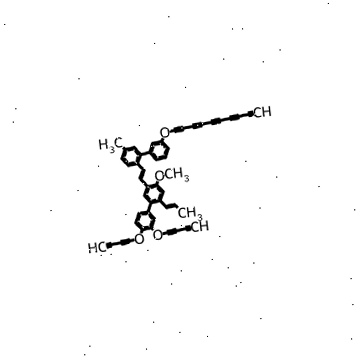 C#CC#CC#CC#CC#COc1cccc(-c2cc(C)ccc2/C=C/c2cc(-c3ccc(OC#CC#C)c(OC#CC#C)c3)c(/C=C/C)cc2OC)c1